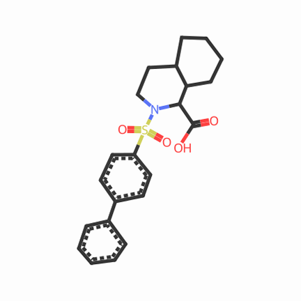 O=C(O)C1C2CCCCC2CCN1S(=O)(=O)c1ccc(-c2ccccc2)cc1